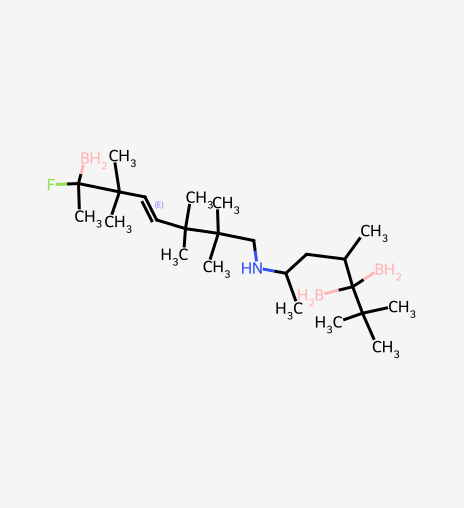 BC(C)(F)C(C)(C)/C=C/C(C)(C)C(C)(C)CNC(C)CC(C)C(B)(B)C(C)(C)C